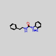 O=C(NCCc1ccccc1)n1nnc2ccccc21